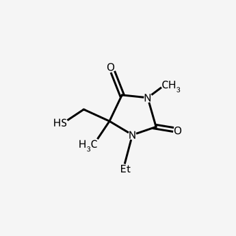 CCN1C(=O)N(C)C(=O)C1(C)CS